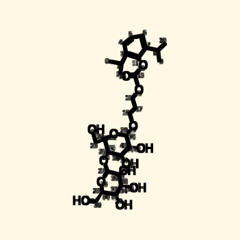 CC(C)c1cccc(C(C)C)c1OC(=O)OCCCO[C@@H]1O[C@H](CO)[C@@H](OC2O[C@H](CO)[C@@H](O)[C@H](O)[C@H]2O)[C@H](O)[C@H]1O